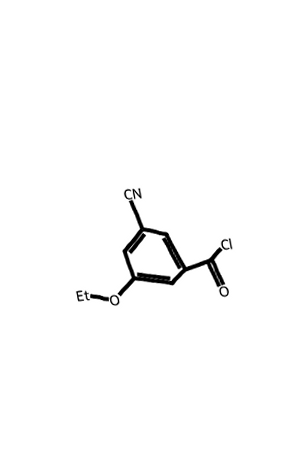 CCOc1cc(C#N)cc(C(=O)Cl)c1